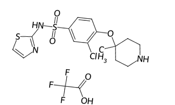 CC1(Oc2ccc(S(=O)(=O)Nc3nccs3)cc2Cl)CCNCC1.O=C(O)C(F)(F)F